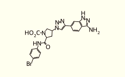 Nc1n[nH]c2cc(-c3cn(C4CC(C(=O)Nc5ccc(Br)cc5)N(C(=O)O)C4)nn3)ccc12